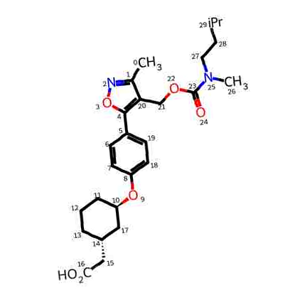 Cc1noc(-c2ccc(O[C@@H]3CCC[C@@H](CC(=O)O)C3)cc2)c1COC(=O)N(C)CCC(C)C